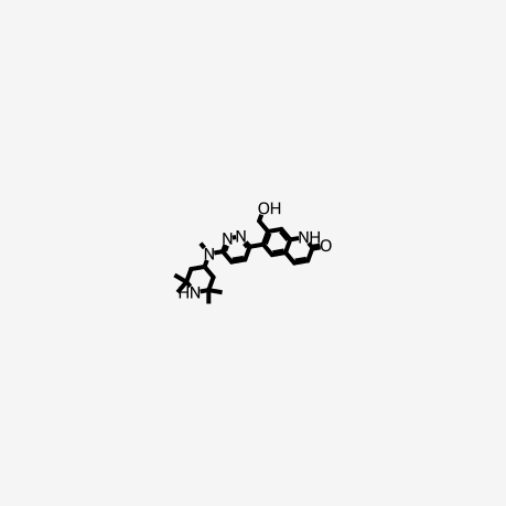 CN(c1ccc(-c2cc3ccc(=O)[nH]c3cc2CO)nn1)C1CC(C)(C)NC(C)(C)C1